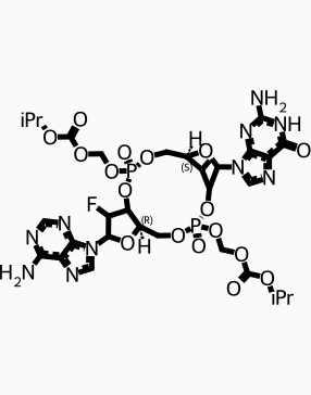 CC(C)OC(=O)OCOP1(=O)OC[C@H]2OC(n3cnc4c(N)ncnc43)C(F)C2OP(=O)(OCOC(=O)OC(C)C)OC[C@H]2OC(n3cnc4c(=O)[nH]c(N)nc43)C(O1)C2C